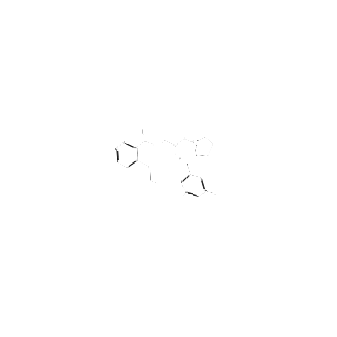 CCOC(=O)CCc1ccccc1[C@@H](C)OC[C@H](O)CN1CCC[C@H]1Cc1cc(F)cc(Cl)c1